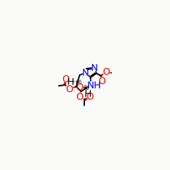 COC(=O)c1ncn2c1N[C@@H]1O[C@H](C2)C(OC(C)=O)C1OC(C)=O